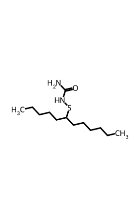 CCCCCCC(CCCCC)SNC(N)=O